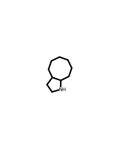 C1CCCC2NCCC2CC1